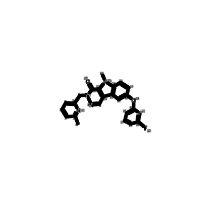 Cc1cccc(Cn2ncc3c4cc(Oc5cccc(F)n5)ccc4n(C)c3c2=O)n1